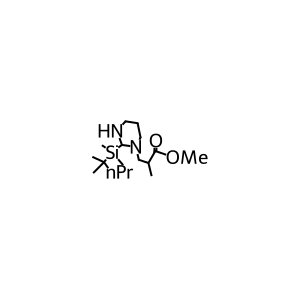 CCCC(C)(C)[Si](C)(C)C1NCCCN1CC(C)C(=O)OC